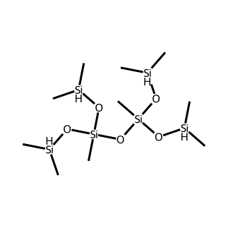 C[SiH](C)O[Si](C)(O[SiH](C)C)O[Si](C)(O[SiH](C)C)O[SiH](C)C